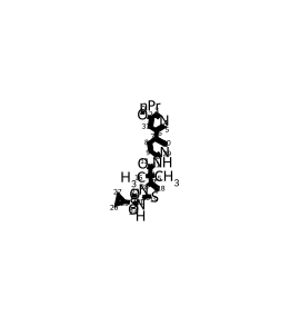 CCCOc1cncc(-c2ccc(NC(=O)C(C)(C)c3csc(NS(=O)(=O)C4CC4)n3)nc2)c1